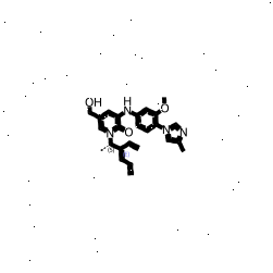 C=C/C=C(\C=C)[C@H](C)n1cc(CO)cc(Nc2ccc(-n3cnc(C)c3)c(OC)c2)c1=O